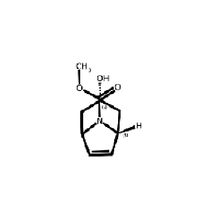 COC(=O)N1C2C=C[C@H]1C[C@@H](O)C2